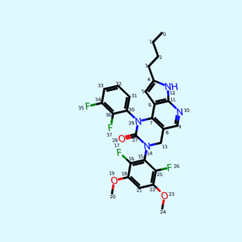 CCCCc1cc2c3c(cnc2[nH]1)CN(c1c(F)c(OC)cc(OC)c1F)C(=O)N3c1cccc(F)c1F